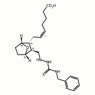 O=C(O)CCC/C=C\C[C@@H]1[C@@H](CNNC(=S)NCc2ccccc2)[C@@H]2CC[C@H]1O2